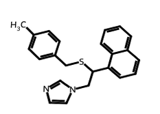 Cc1ccc(CSC(Cn2ccnc2)c2cccc3ccccc23)cc1